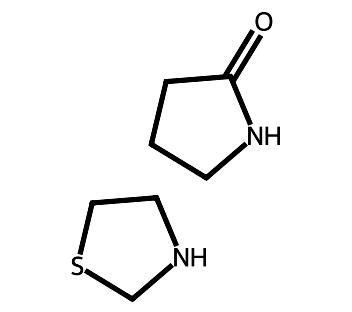 C1CSCN1.O=C1CCCN1